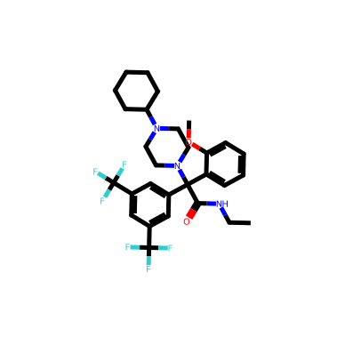 CCNC(=O)C(c1cc(C(F)(F)F)cc(C(F)(F)F)c1)(c1ccccc1OC)N1CCN(C2CCCCC2)CC1